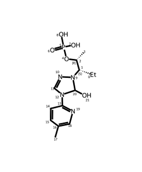 CC[C@@H]([C@@H](C)OP(=O)(O)O)N1N=CN(c2ccc(C)cn2)C1O